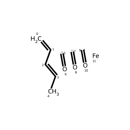 C=CC=CC.[C]=O.[C]=O.[C]=O.[Fe]